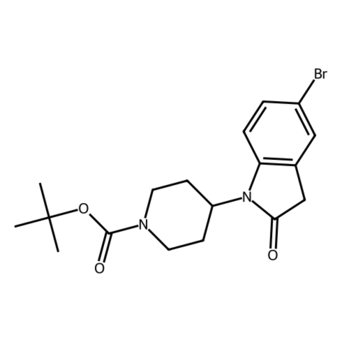 CC(C)(C)OC(=O)N1CCC(N2C(=O)Cc3cc(Br)ccc32)CC1